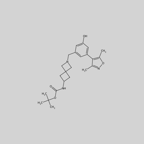 Cc1noc(C)c1-c1cc(O)cc(CN2CC3(CC(NC(=O)OC(C)(C)C)C3)C2)c1